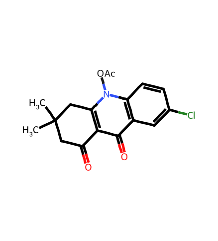 CC(=O)On1c2c(c(=O)c3cc(Cl)ccc31)C(=O)CC(C)(C)C2